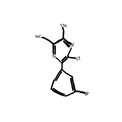 N#Cc1nc(Cl)c(-c2cccc(Br)c2)nc1C#N